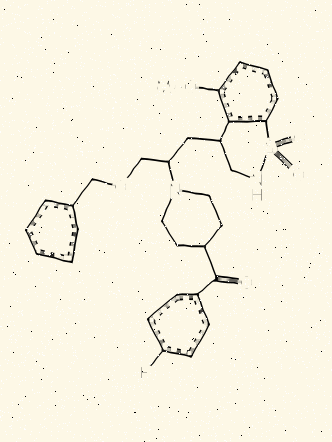 COc1cccc2c1C(CC(COCc1ccccc1)N1CCC(C(=O)c3ccc(F)cc3)CC1)CNS2(=O)=O